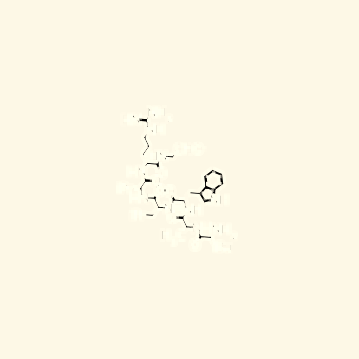 CC[C@H](C)[C@H](N)C(=O)N[C@@H](C)C(=O)N[C@@H](Cc1c[nH]c2ccccc12)C(=O)N[C@@H](CC(C)C)C(=O)N[C@H](C(=O)N[C@@H](CCCNC(=N)N)C(=O)NC[C]=O)C(C)C